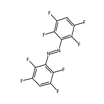 Fc1cc(F)c(F)c(/N=N/c2c(F)c(F)cc(F)c2F)c1F